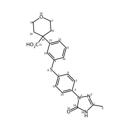 Cc1nn(-c2ccc(Sc3cccc(C4(C(=O)O)CCOCC4)c3)cc2)c(=O)[nH]1